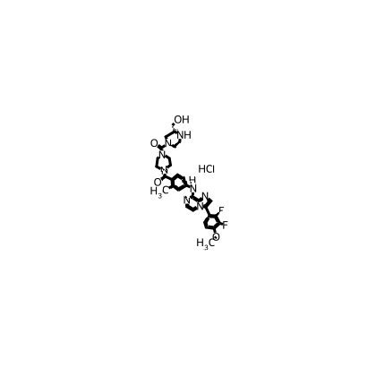 COc1ccc(-c2cnc3c(Nc4ccc(C(=O)N5CCN(C(=O)N6CCN[C@@H](CO)C6)CC5)c(C)c4)nccn23)c(F)c1F.Cl